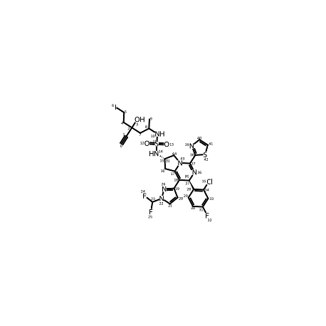 C#CC(O)(CCI)CC(C)NS(=O)(=O)N[C@H]1CC2=C(c3ccn(C(F)F)n3)[C@H](c3ccc(F)cc3Cl)N=C(c3nccs3)N2C1